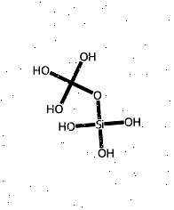 OC(O)(O)O[Si](O)(O)O